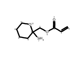 C=CC(=O)OCC1([SiH3])CCCCO1